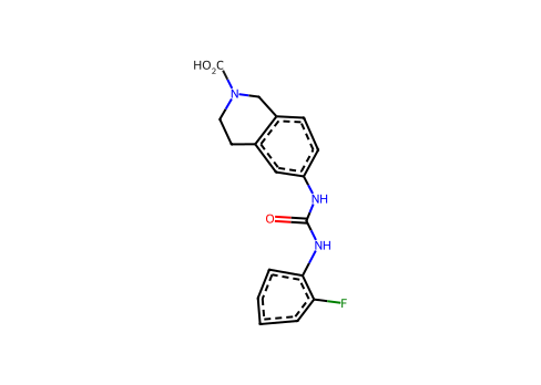 O=C(Nc1ccc2c(c1)CCN(C(=O)O)C2)Nc1ccccc1F